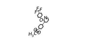 CS(=O)(=O)c1ccc(-c2cccnc2Oc2ccc(C(F)(F)F)cc2)cc1